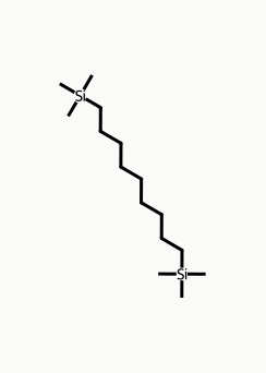 C[Si](C)(C)CCCCCCCCC[Si](C)(C)C